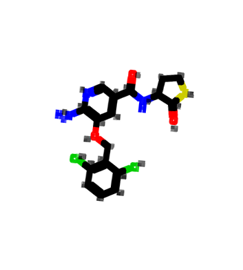 Nc1ncc(C(=O)NC2CCSC2=O)cc1OCc1c(Cl)cccc1Cl